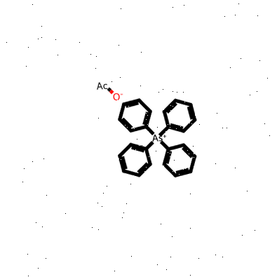 CC(=O)[O-].c1ccc([As+](c2ccccc2)(c2ccccc2)c2ccccc2)cc1